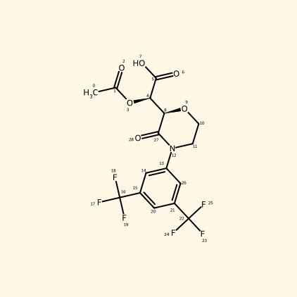 CC(=O)O[C@@H](C(=O)O)[C@H]1OCCN(c2cc(C(F)(F)F)cc(C(F)(F)F)c2)C1=O